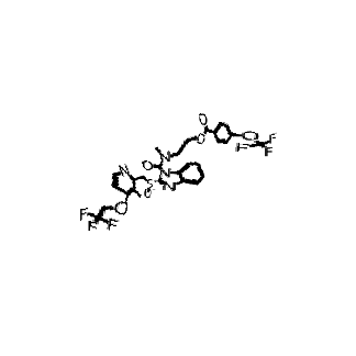 Cc1c(OCC(F)(F)F)ccnc1C[S+]([O-])c1nc2ccccc2n1C(=O)N(C)CCOC(=O)c1ccc(OC(F)(F)F)cc1